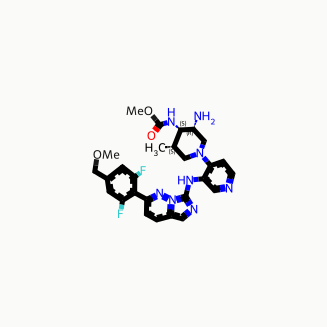 COCc1cc(F)c(-c2ccc3cnc(Nc4cnccc4N4C[C@@H](N)[C@@H](NC(=O)OC)[C@@H](C)C4)n3n2)c(F)c1